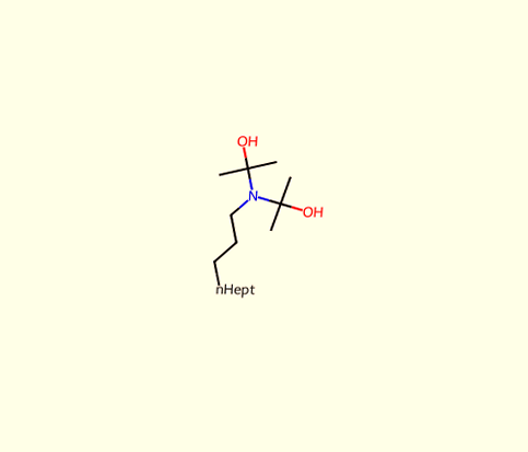 CCCCCCCCCCN(C(C)(C)O)C(C)(C)O